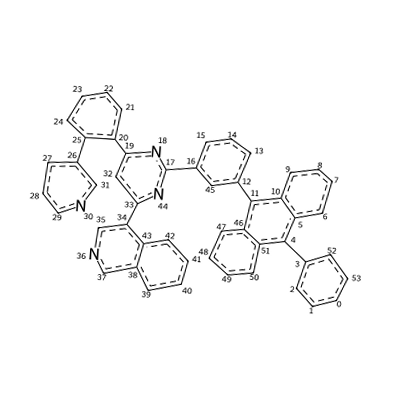 c1ccc(-c2c3ccccc3c(-c3cccc(-c4nc(-c5ccccc5-c5cccnc5)cc(-c5cncc6ccccc56)n4)c3)c3ccccc23)cc1